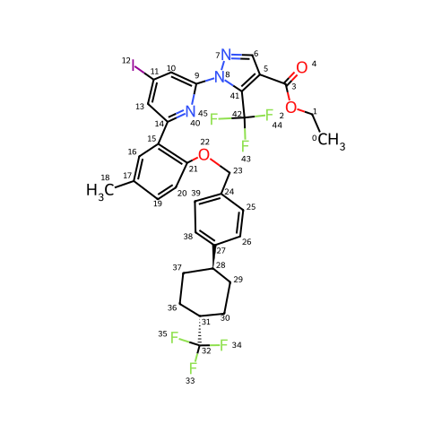 CCOC(=O)c1cnn(-c2cc(I)cc(-c3cc(C)ccc3OCc3ccc([C@H]4CC[C@H](C(F)(F)F)CC4)cc3)n2)c1C(F)(F)F